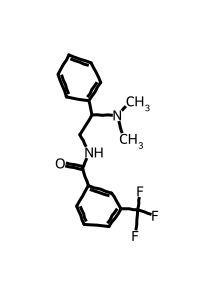 CN(C)C(CNC(=O)c1cccc(C(F)(F)F)c1)c1ccccc1